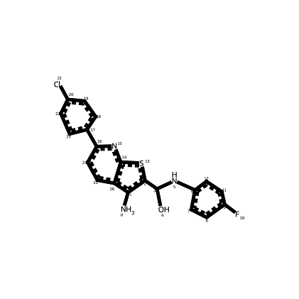 Nc1c(C(O)Nc2ccc(F)cc2)sc2nc(-c3ccc(Cl)cc3)ccc12